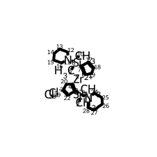 C[Si](C)(C1=[C]([Zr+2][C]2=C([Si](C)(C)N3CCCCC3)C=CC2)CC=C1)N1CCCCC1.[Cl-].[Cl-]